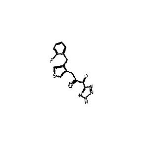 O=C(Cc1cscc1Cc1ccccc1F)C(=O)c1nn[nH]n1